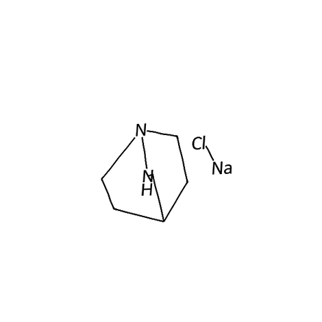 C1CN2CCC1CN2.[Na][Cl]